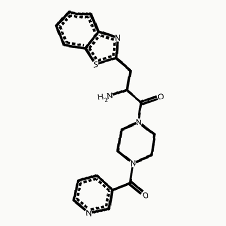 NC(Cc1nc2ccccc2s1)C(=O)N1CCN(C(=O)c2cccnc2)CC1